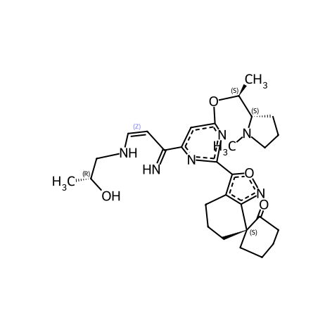 C[C@H](Oc1cc(C(=N)/C=C\NC[C@@H](C)O)nc(-c2onc3c2CCC[C@@]32CCCCC2=O)n1)[C@@H]1CCCN1C